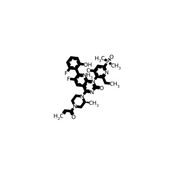 C=CC(=O)N1CCN(c2nc(=O)n(-c3c(C)cc(P(C)(C)=O)nc3CC)c3nc(-c4c(O)cccc4F)c(F)cc23)[C@@H](C)C1